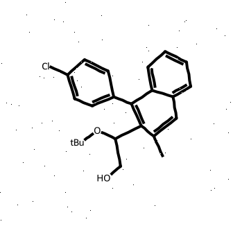 Cc1cc2ccccc2c(-c2ccc(Cl)cc2)c1C(CO)OC(C)(C)C